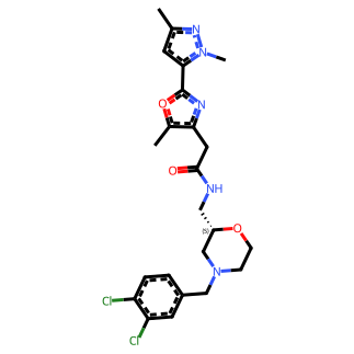 Cc1cc(-c2nc(CC(=O)NC[C@H]3CN(Cc4ccc(Cl)c(Cl)c4)CCO3)c(C)o2)n(C)n1